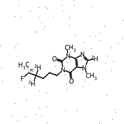 [2H]c1nc2c(c(=O)n(CCCC([2H])([2H])[C@@H](C)F)c(=O)n2C)n1C